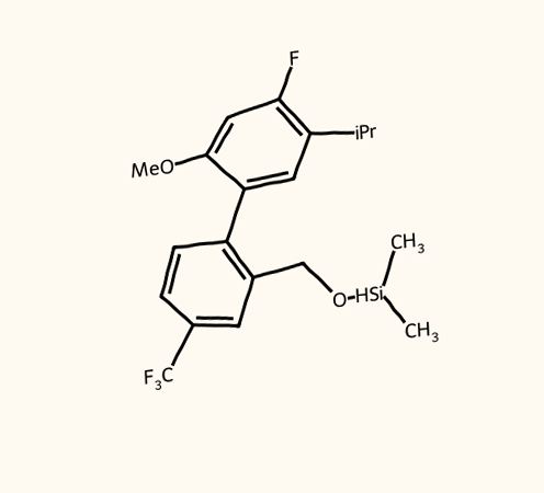 COc1cc(F)c(C(C)C)cc1-c1ccc(C(F)(F)F)cc1CO[SiH](C)C